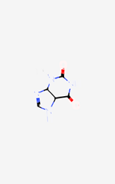 CN1C(=O)NC(=O)C2NC=NC21